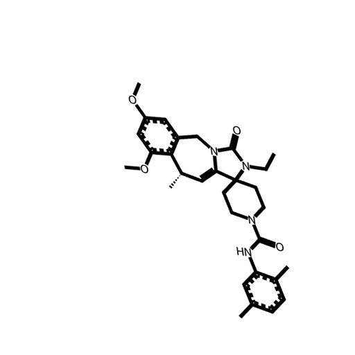 CCN1C(=O)N2Cc3cc(OC)cc(OC)c3[C@@H](C)C=C2C12CCN(C(=O)Nc1cc(C)ccc1C)CC2